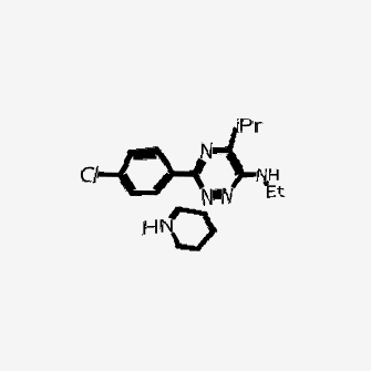 C1CCNCC1.CCNc1nnc(-c2ccc(Cl)cc2)nc1C(C)C